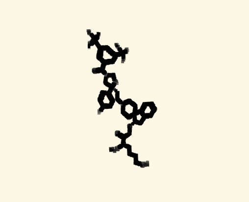 CN(CCCCO)C(=O)CO[C@H]1Cc2ccccc2C12CCN(CC[C@]1(c3ccc(F)cc3)CN(C(=O)c3cc(C(F)(F)F)cc(C(F)(F)F)c3)CO1)CC2